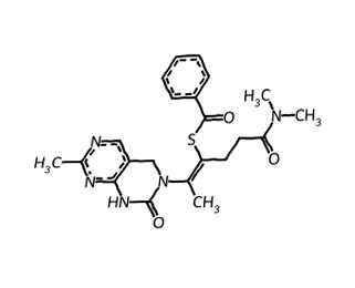 C/C(=C(\CCC(=O)N(C)C)SC(=O)c1ccccc1)N1Cc2cnc(C)nc2NC1=O